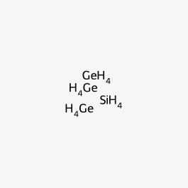 [GeH4].[GeH4].[GeH4].[SiH4]